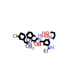 CCNc1cc(C(=O)N[C@@H](Cc2ccccc2)[C@H](O)CNC(C)(C)Cc2cccc(Cl)c2)cc(N2CCCCS2(O)O)c1